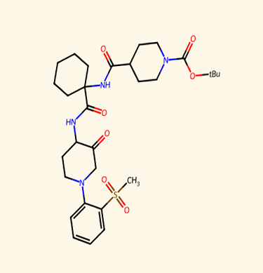 CC(C)(C)OC(=O)N1CCC(C(=O)NC2(C(=O)NC3CCN(c4ccccc4S(C)(=O)=O)CC3=O)CCCCC2)CC1